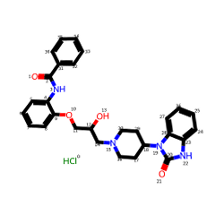 Cl.O=C(Nc1ccccc1OCC(O)CN1CCC(n2c(=O)[nH]c3ccccc32)CC1)c1ccccc1